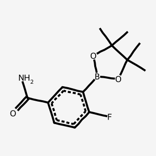 CC1(C)OB(c2cc(C(N)=O)ccc2F)OC1(C)C